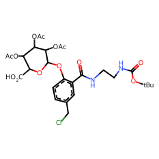 CC(=O)OC1C(Oc2ccc(CCl)cc2C(=O)NCCNC(=O)OC(C)(C)C)OC(C(=O)O)C(OC(C)=O)C1OC(C)=O